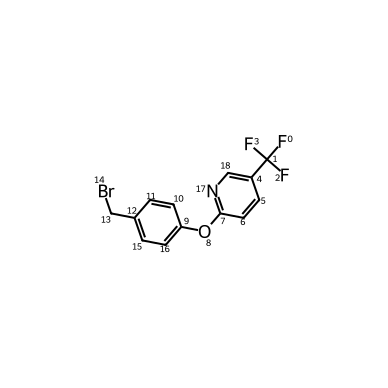 FC(F)(F)c1ccc(Oc2ccc(CBr)cc2)nc1